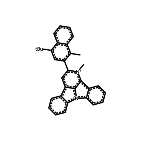 Cc1c(-c2cc3c4ccccc4n4c5ccccc5c(c34)[n+]2C)cc(C(C)(C)C)c2ccccc12